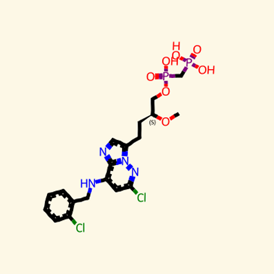 CO[C@@H](CCc1cnc2c(NCc3ccccc3Cl)cc(Cl)nn12)COP(=O)(O)CP(=O)(O)O